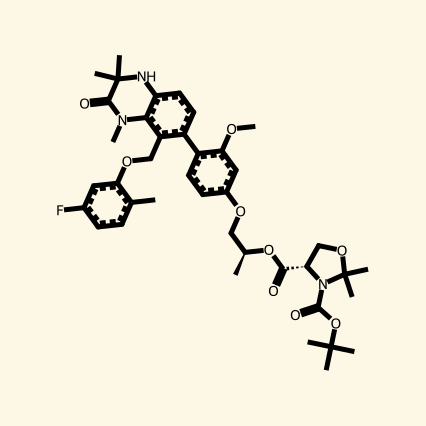 COc1cc(OC[C@H](C)OC(=O)[C@@H]2COC(C)(C)N2C(=O)OC(C)(C)C)ccc1-c1ccc2c(c1COc1cc(F)ccc1C)N(C)C(=O)C(C)(C)N2